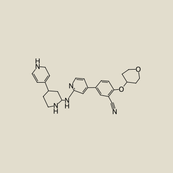 N#Cc1cc(-c2ccnc(NC3CC(C4=CCNC=C4)CCN3)c2)ccc1OC1CCOCC1